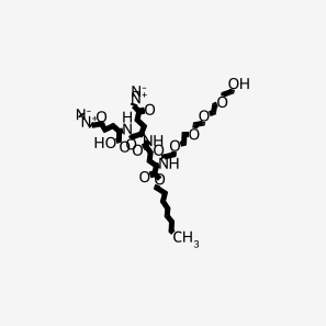 CCCCCCCCOC(=O)C(CCC(=O)NC(CCC(=O)C=[N+]=[N-])C(=O)NC(CCC(=O)C=[N+]=[N-])C(=O)O)NC(=O)COCCOCCOCCOCCO